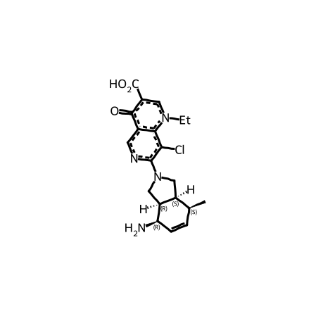 CCn1cc(C(=O)O)c(=O)c2cnc(N3C[C@@H]4[C@H](C3)[C@H](N)C=C[C@@H]4C)c(Cl)c21